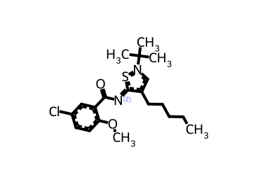 CCCCCc1cn(C(C)(C)C)s/c1=N\C(=O)c1cc(Cl)ccc1OC